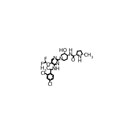 CC(Nc1nc(N2CC[C@H](NC(=O)[C@H]3CC[C@H](C)N3)[C@@H](O)C2)ncc1OC(F)F)c1ccc(Cl)cc1Cl